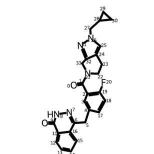 O=C(c1cc(Cc2n[nH]c(=O)c3ccccc23)ccc1F)N1CCc2cn(CC3CC3)nc2C1